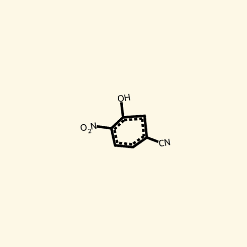 N#Cc1ccc([N+](=O)[O-])c(O)c1